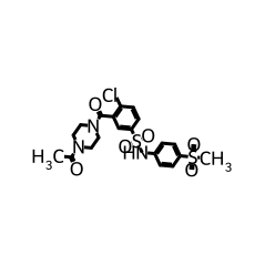 CC(=O)N1CCN(C(=O)c2cc(S(=O)(=O)Nc3ccc(S(C)(=O)=O)cc3)ccc2Cl)CC1